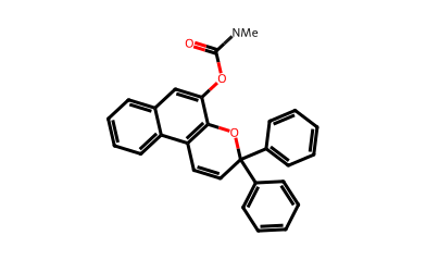 CNC(=O)Oc1cc2ccccc2c2c1OC(c1ccccc1)(c1ccccc1)C=C2